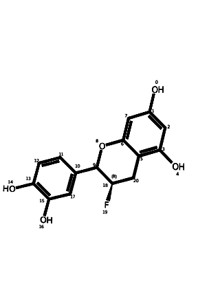 Oc1cc(O)c2c(c1)OC(c1ccc(O)c(O)c1)[C@H](F)C2